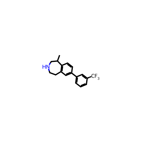 CC1CNCCc2cc(-c3cccc(C(F)(F)F)c3)ccc21